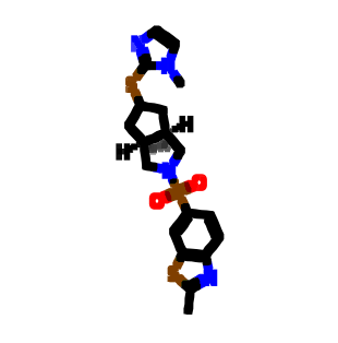 Cc1nc2ccc(S(=O)(=O)N3C[C@H]4CC(Sc5nccn5C)C[C@H]4C3)cc2s1